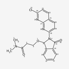 CN(C)C(=O)CCOC1c2ccccc2C(=O)N1c1ccc2ccc(Cl)nc2n1